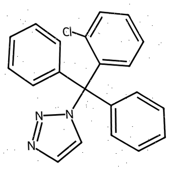 Clc1ccccc1C(c1ccccc1)(c1ccccc1)n1ccnn1